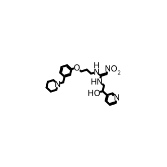 O=[N+]([O-])/C=C(\NCCCOc1cccc(CN2CCCCC2)c1)NCC(O)c1cccnc1